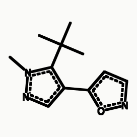 Cn1ncc(-c2ccno2)c1C(C)(C)C